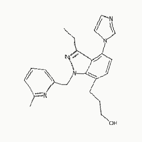 CCc1nn(Cc2cccc(C)n2)c2c(CCCO)ccc(-n3ccnc3)c12